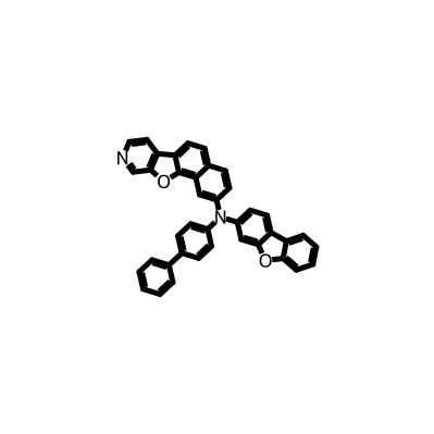 c1ccc(-c2ccc(N(c3ccc4c(c3)oc3ccccc34)c3ccc4ccc5c6ccncc6oc5c4c3)cc2)cc1